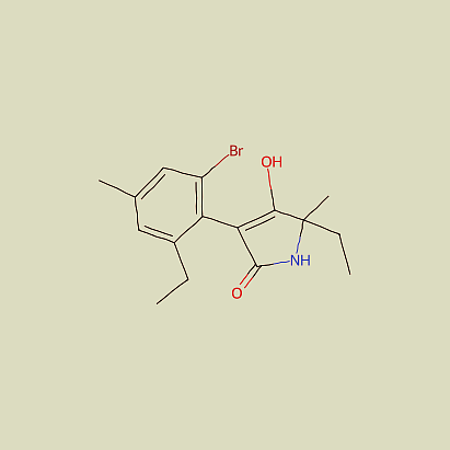 CCc1cc(C)cc(Br)c1C1=C(O)C(C)(CC)NC1=O